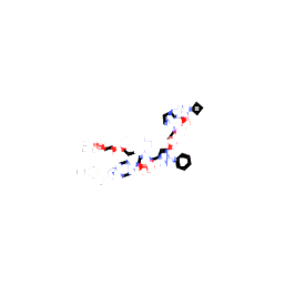 CCOCCOC(=O)CC[C@H](NC(=O)c1cc(OCC(=O)N2CCC[C@H]2C(=O)NC2CCC2)n(-c2ccccc2)n1)C(=O)N1CCN(C(=O)O)CC1